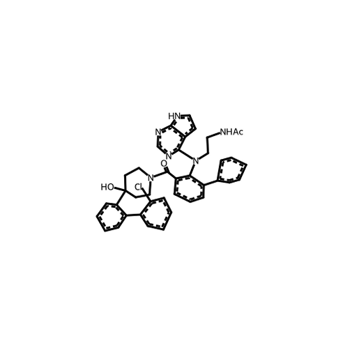 CC(=O)NCCN(c1c(C(=O)N2CCC(O)(c3ccccc3-c3ccccc3Cl)CC2)cccc1-c1ccccc1)c1ncnc2[nH]ccc12